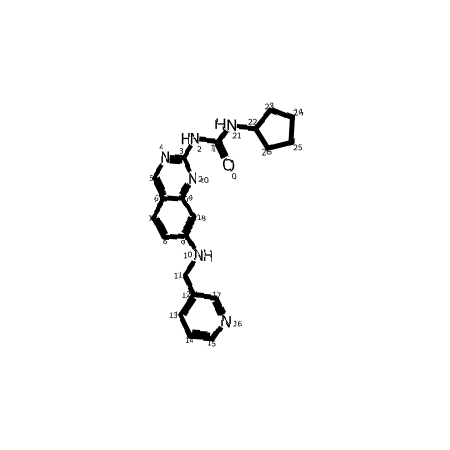 O=C(Nc1ncc2ccc(NCc3cccnc3)cc2n1)NC1CCCC1